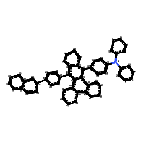 c1ccc(N(c2ccccc2)c2ccc(-c3c4ccccc4c(-c4ccc(-c5ccc6ccccc6c5)cc4)c4c5ccccc5c5ccccc5c34)cc2)cc1